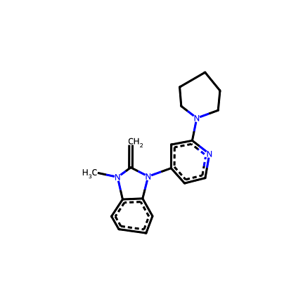 C=C1N(C)c2ccccc2N1c1ccnc(N2CCCCC2)c1